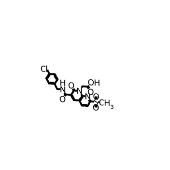 CS(=O)(=O)c1ccc2cc(C(=O)NCc3ccc(Cl)cc3)c(=O)n(CC(=O)O)c2n1